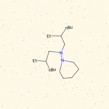 CCCCC(CC)CN(CC(CC)CCCC)N1CCCCC1